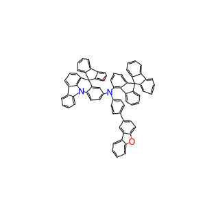 c1ccc2c(c1)-c1ccccc1C21c2ccccc2-c2c(N(c3ccc(-c4ccc5oc6ccccc6c5c4)cc3)c3ccc4c(c3)C3(c5ccccc5-c5ccccc53)c3cccc5c6ccccc6n-4c35)cccc21